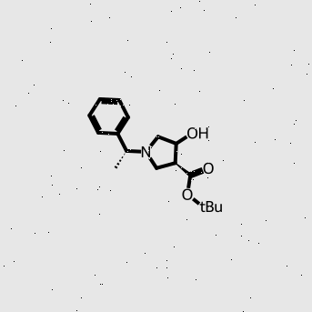 C[C@H](c1ccccc1)N1CC(O)[C@@H](C(=O)OC(C)(C)C)C1